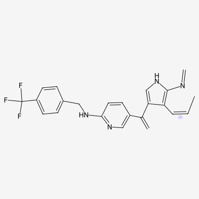 C=Nc1[nH]cc(C(=C)c2ccc(NCc3ccc(C(F)(F)F)cc3)nc2)c1/C=C\C